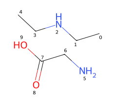 CCNCC.NCC(=O)O